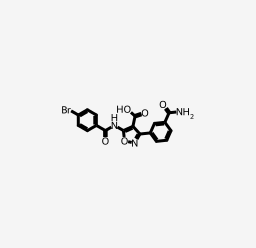 NC(=O)c1cccc(-c2noc(NC(=O)c3ccc(Br)cc3)c2C(=O)O)c1